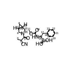 CC(C#N)C(=O)N1C[C@@H]2C[C@@H]2[C@@H]1COC(=O)N[C@@H](Cc1ccccc1)B(O)O